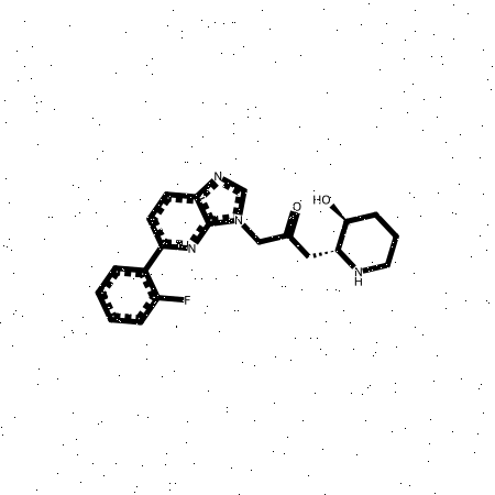 O=C(C[C@H]1NCCC[C@@H]1O)Cn1cnc2ccc(-c3ccccc3F)nc21